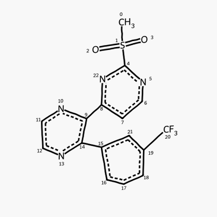 CS(=O)(=O)c1nccc(-c2nccnc2-c2cccc(C(F)(F)F)c2)n1